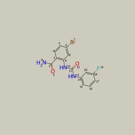 NC(=O)c1ccc(Br)cc1NC(=O)Nc1cccc(F)c1